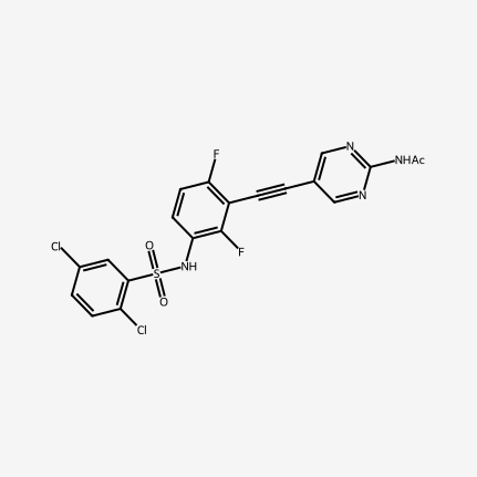 CC(=O)Nc1ncc(C#Cc2c(F)ccc(NS(=O)(=O)c3cc(Cl)ccc3Cl)c2F)cn1